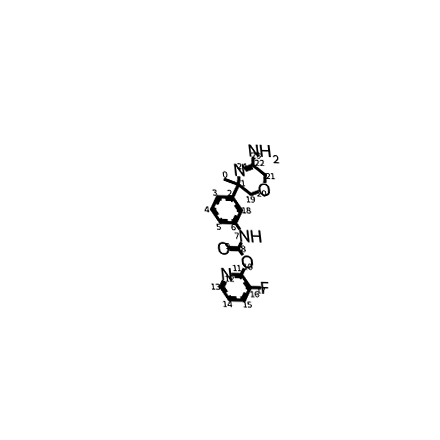 CC1(c2cccc(NC(=O)Oc3ncccc3F)c2)COCC(N)=N1